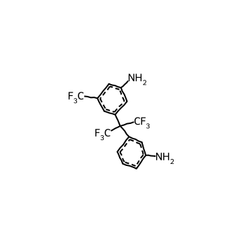 Nc1cccc(C(c2cc(N)cc(C(F)(F)F)c2)(C(F)(F)F)C(F)(F)F)c1